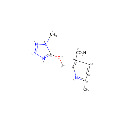 Cn1nnnc1OCc1nc(C(F)(F)F)ccc1C(=O)O